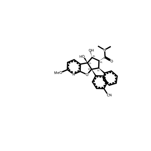 COc1ccc2c(n1)O[C@@]1(c3ccc(C#N)cc3)[C@H](c3ccccc3)[C@@H](C(=O)N(C)C)[C@@H](O)[C@@]21O